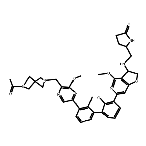 COc1nc(-c2cccc(-c3cccc(-c4cc5c(c(OC)n4)C(NCC4CCC(=O)N4)CO5)c3Cl)c2C)cnc1CN1CC2(C1)CN(C(C)=O)C2